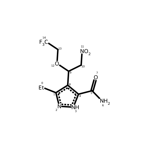 CCc1n[nH]c(C(N)=O)c1C(C[N+](=O)[O-])OCC(F)(F)F